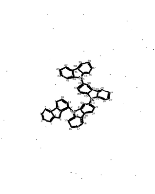 c1ccc2c(c1)Cc1c-2cccc1-n1c2ccccc2c2ccc(-n3c4ccccc4c4cc(-n5c6ccccc6c6ccccc65)ccc43)cc21